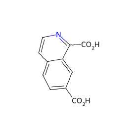 O=C(O)c1ccc2ccnc(C(=O)O)c2c1